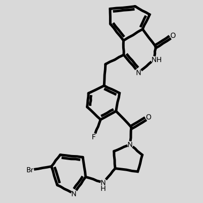 O=C(c1cc(Cc2n[nH]c(=O)c3ccccc23)ccc1F)N1CCC(Nc2ccc(Br)cn2)C1